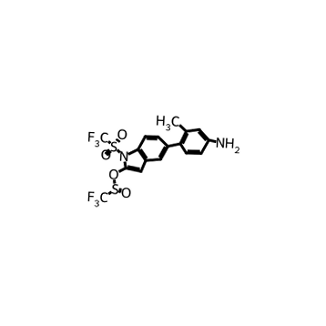 Cc1cc(N)ccc1-c1ccc2c(c1)cc(OS(=O)C(F)(F)F)n2S(=O)(=O)C(F)(F)F